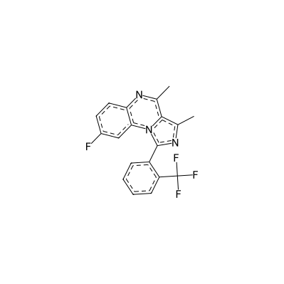 Cc1nc(-c2ccccc2C(F)(F)F)n2c1c(C)nc1ccc(F)cc12